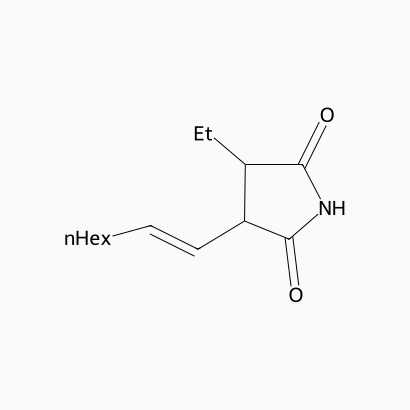 CCCCCCC=CC1C(=O)NC(=O)C1CC